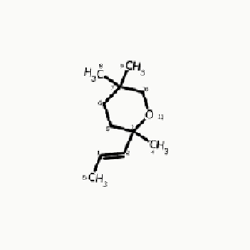 CC=CC1(C)CCC(C)(C)CO1